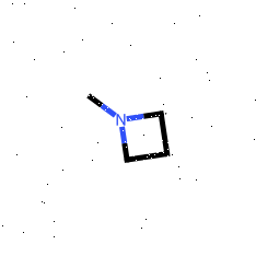 CN1[CH]CC1